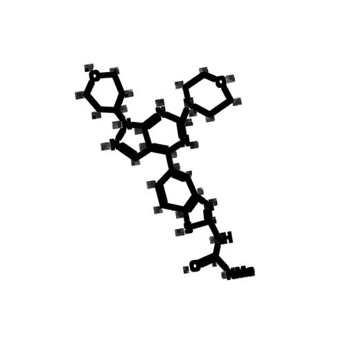 CNC(=O)Nc1nc2cc(-c3nc(N4CCOCC4)nc4c3cnn4C3CCOCC3)ccc2s1